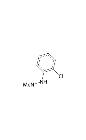 CNNc1ccccc1Cl